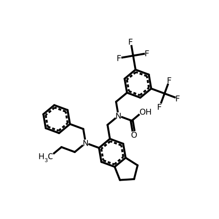 CCCN(Cc1ccccc1)c1cc2c(cc1CN(Cc1cc(C(F)(F)F)cc(C(F)(F)F)c1)C(=O)O)CCC2